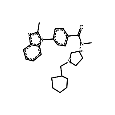 Cc1nc2ccccc2n1-c1ccc(C(=O)N(C)[C@@H]2CCN(CC3CCCCC3)C2)cc1